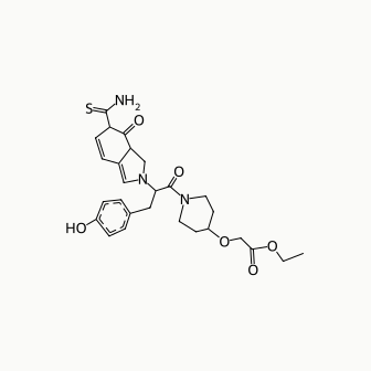 CCOC(=O)COC1CCN(C(=O)C(Cc2ccc(O)cc2)N2C=C3C=CC(C(N)=S)C(=O)C3C2)CC1